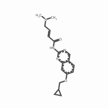 CN(C)CC=CC(=O)Nc1ncc2ccc(OCC3CC3)cc2n1